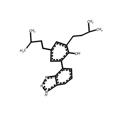 CC(C)CCc1cc(CCC(C)C)c(O)c(-c2cccc3[nH]nnc23)c1